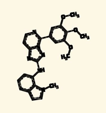 COc1cc(-c2nccc3nc(Nc4cccc5ccn(C)c45)nn23)cc(OC)c1OC